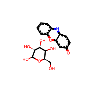 O=c1ccc2nc3ccccc3oc-2c1.OC[C@H]1O[C@@H](O)[C@H](O)[C@@H](O)[C@H]1O